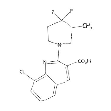 CC1CN(c2nc3c(Cl)cccc3cc2C(=O)O)CCC1(F)F